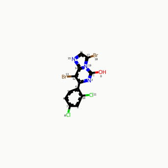 Oc1nc(-c2ccc(Cl)cc2Cl)c(Br)c2ncc(Br)n12